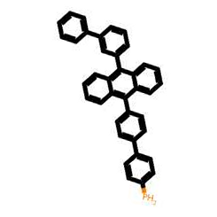 Pc1ccc(-c2ccc(-c3c4ccccc4c(-c4cccc(-c5ccccc5)c4)c4ccccc34)cc2)cc1